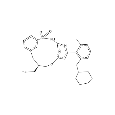 Cc1cccc(CC2CCCCC2)c1-c1cc2nc(n1)NS(=O)(=O)c1cccc(c1)C[C@H](CC(C)(C)C)CO2